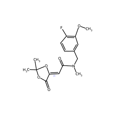 COc1cc(CN(C)C(=O)/C=C2\OC(C)(C)OC2=O)ccc1F